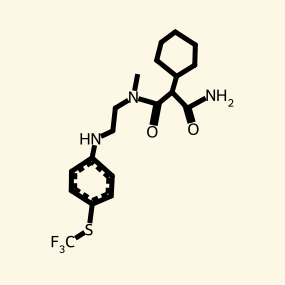 CN(CCNc1ccc(SC(F)(F)F)cc1)C(=O)C(C(N)=O)C1CCCCC1